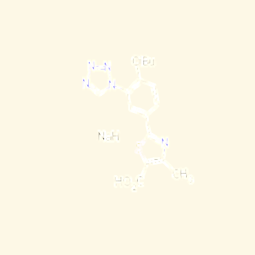 Cc1nc(-c2ccc(OCC(C)C)c(-n3cnnn3)c2)sc1C(=O)O.[NaH]